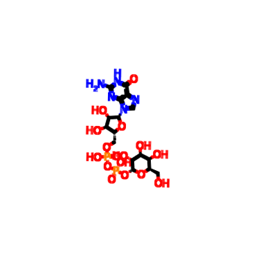 Nc1nc2c(ncn2[C@@H]2O[C@H](COP(=O)(O)OP(=O)(O)O[C@H]3O[C@H](CO)[C@H](O)[C@H](O)[C@H]3O)[C@@H](O)[C@H]2O)c(=O)[nH]1